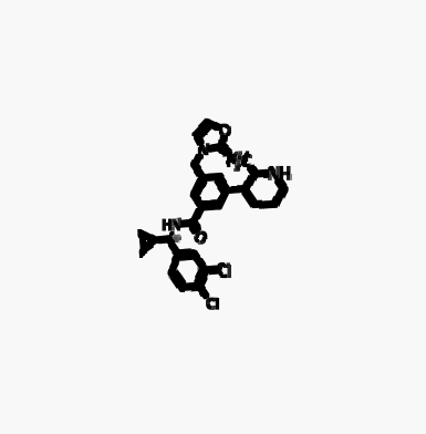 N=c1occn1Cc1cc(C(=O)N[C@H](c2ccc(Cl)c(Cl)c2)C2CC2)cc(C2CCCNC2C(F)(F)F)c1